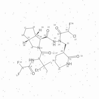 CCC(C)(C)C(NC(=O)C(F)F)C(=O)N1C[C@@H]2CCC[C@@H]2[C@H]1C(=O)NN(C[C@@H]1CCCNC1=O)C(=O)C(F)Cl